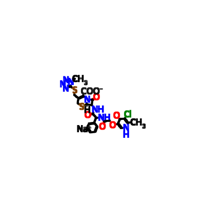 Cc1[nH]cc(OCC(=O)NC(C(=O)NC2C(=O)N3C(C(=O)[O-])=C(CSc4nnnn4C)CS[C@H]23)c2ccccc2)c(=O)c1Cl.[Na+]